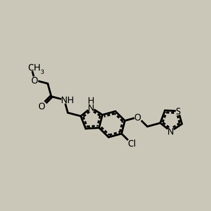 COCC(=O)NCc1cc2cc(Cl)c(OCc3cscn3)cc2[nH]1